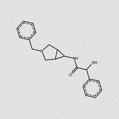 O=C(NC1C2CN(Cc3ccccc3)CC21)C(O)c1ccccc1